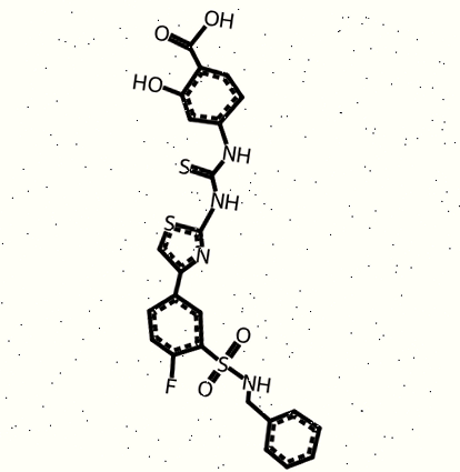 O=C(O)c1ccc(NC(=S)Nc2nc(-c3ccc(F)c(S(=O)(=O)NCc4ccccc4)c3)cs2)cc1O